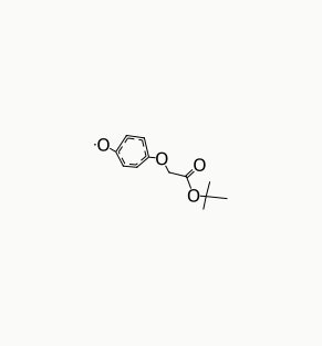 CC(C)(C)OC(=O)COc1ccc([O])cc1